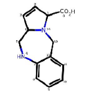 O=C(O)C1C=CC2CNc3ccccc3CN21